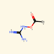 CCC(=O)ONC(=N)N